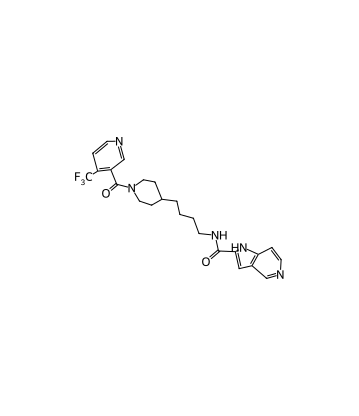 O=C(NCCCCC1CCN(C(=O)c2cnccc2C(F)(F)F)CC1)c1cc2cnccc2[nH]1